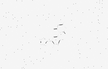 O=c1cc(C(F)(F)F)[nH]c(=O)n1-c1cc(-c2nnn[nH]2)c(Cl)cc1F